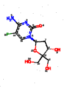 Nc1nc(=O)n([C@H]2C[C@H](O)C(CO)(CO)O2)cc1F